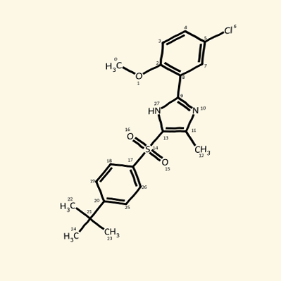 COc1ccc(Cl)cc1-c1nc(C)c(S(=O)(=O)c2ccc(C(C)(C)C)cc2)[nH]1